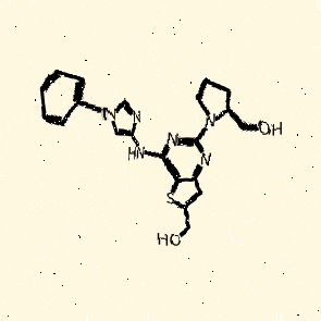 OCc1cc2nc(N3CCCC3CO)nc(Nc3cn(-c4ccccc4)cn3)c2s1